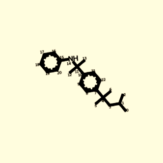 CC(C)CC(C)(C)c1ccc(C(C)(C)Nc2ccccc2)cc1